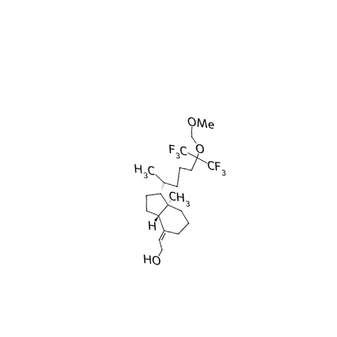 COCOC(CCCC(C)[C@H]1CC[C@H]2/C(=C/CO)CCC[C@]12C)(C(F)(F)F)C(F)(F)F